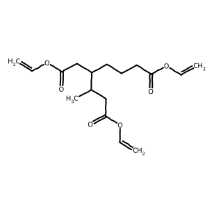 C=COC(=O)CCCC(CC(=O)OC=C)C(C)CC(=O)OC=C